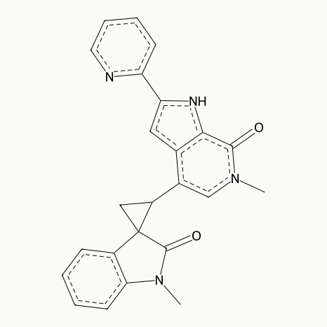 CN1C(=O)C2(CC2c2cn(C)c(=O)c3[nH]c(-c4ccccn4)cc23)c2ccccc21